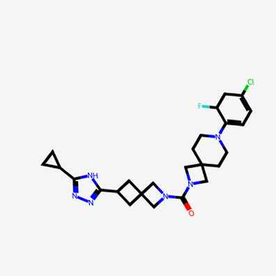 O=C(N1CC2(CCN(C3=CC=C(Cl)CC3F)CC2)C1)N1CC2(CC(c3nnc(C4CC4)[nH]3)C2)C1